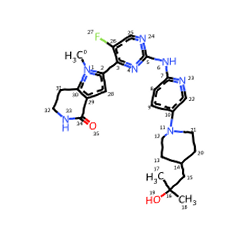 Cn1c(-c2nc(Nc3ccc(N4CCC(CC(C)(C)O)CC4)cn3)ncc2F)cc2c1CCNC2=O